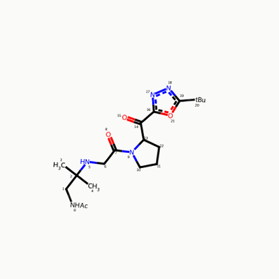 CC(=O)NCC(C)(C)NCC(=O)N1CCCC1C(=O)c1nnc(C(C)(C)C)o1